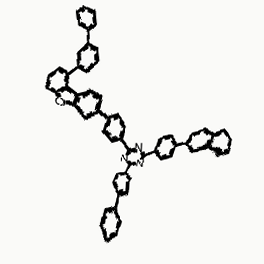 c1ccc(-c2ccc(-c3nc(-c4ccc(-c5ccc6ccccc6c5)cc4)nc(-c4ccc(-c5ccc6c(c5)oc5cccc(-c7cccc(-c8ccccc8)c7)c56)cc4)n3)cc2)cc1